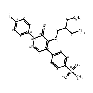 CCC(CC)COc1c(-c2ccc(S(C)(=O)=O)cc2)cnn(-c2ccc(F)cc2)c1=O